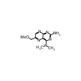 COCc1cnc2nc(N)nc(N(C)C)c2n1